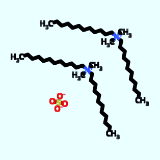 CCCCCCCCCCCC[N+](C)(C)CCCCCCCCCCCC.CCCCCCCCCCCC[N+](C)(C)CCCCCCCCCCCC.O=S(=O)([O-])[O-]